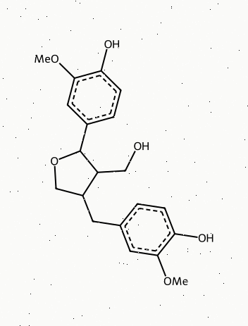 COc1cc(CC2COC(c3ccc(O)c(OC)c3)C2CO)ccc1O